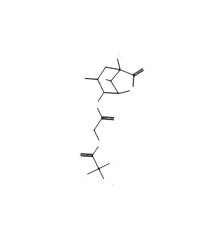 CCCC(C)(C)C(=O)OCC(=O)OC1C(CC)CC2(C#N)C(=O)O[C@@H]1C2C